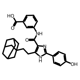 O=C(O)c1cccc(NC(=O)c2nc(-c3ccc(O)cc3)[nH]c2CCC23CC4CC(CC(C4)C2)C3)c1